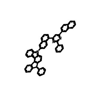 c1ccc(-c2nc(-c3ccc4ccccc4c3)cc(-c3cccc4cc(-n5c6ccccc6c6c7c(ccc65)C(c5ccccc5)c5ccccc5-7)ccc34)n2)cc1